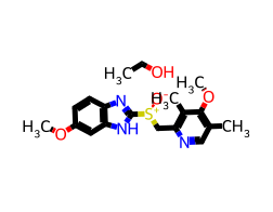 CCO.COc1ccc2nc([S@+]([O-])Cc3ncc(C)c(OC)c3C)[nH]c2c1